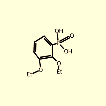 CCOc1cccc(P(=O)(O)O)c1OCC